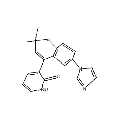 CC1(C)C=C(c2ccc[nH]c2=O)c2cc(-n3ccnc3)ccc2O1